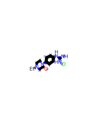 CCN1CCN(c2ccc(NC(=N)NCl)cc2)C(=O)C1